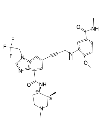 CNC(=O)c1ccc(OC)c(NCC#Cc2cc(C(=O)N[C@@H]3CCN(C)C[C@@H]3C)c3ncn(CC(F)(F)F)c3c2)c1